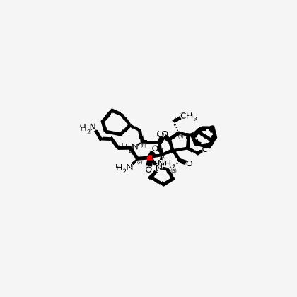 CC[C@@H](C(=O)C(C(=O)[C@@H]1CCCN1C(=O)[C@@H](N)CCCCN)(C1CCCCC1)[C@](N)([C]=O)C(=O)[C@H](N)CC1CCCCC1)c1ccccc1